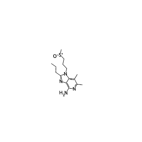 CCCc1nc2c(N)nc(C)c(C)c2n1CCC[S+](C)[O-]